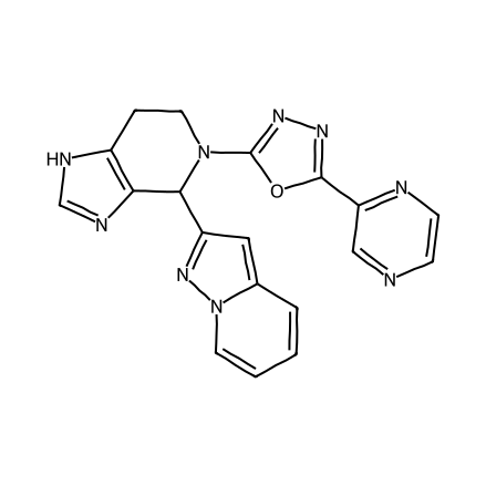 c1ccn2nc(C3c4nc[nH]c4CCN3c3nnc(-c4cnccn4)o3)cc2c1